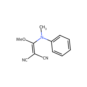 COC(=C(C#N)C#N)N(C)c1ccccc1